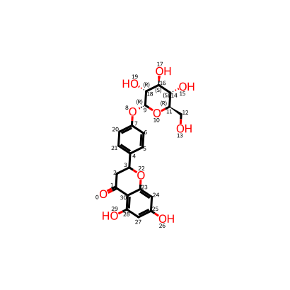 O=C1CC(c2ccc(O[C@H]3O[C@H](CO)[C@@H](O)[C@H](O)[C@H]3O)cc2)Oc2cc(O)cc(O)c21